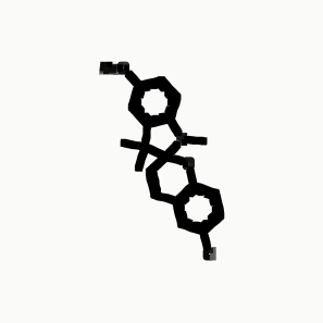 COc1ccc2c(c1)C(C)(C)C1(C=Cc3cc(Cl)ccc3O1)N2C